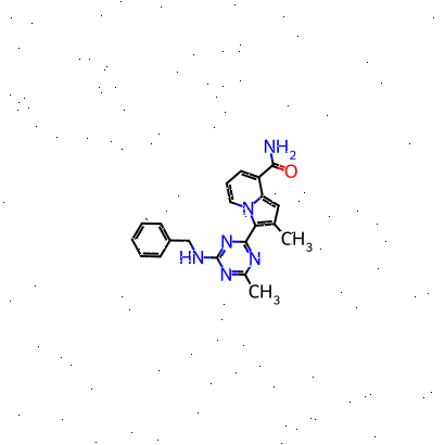 Cc1nc(NCc2ccccc2)nc(-c2c(C)cc3c(C(N)=O)cccn23)n1